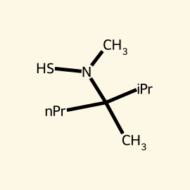 CCCC(C)(C(C)C)N(C)S